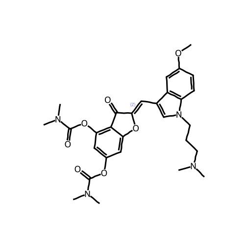 COc1ccc2c(c1)c(/C=C1\Oc3cc(OC(=O)N(C)C)cc(OC(=O)N(C)C)c3C1=O)cn2CCCN(C)C